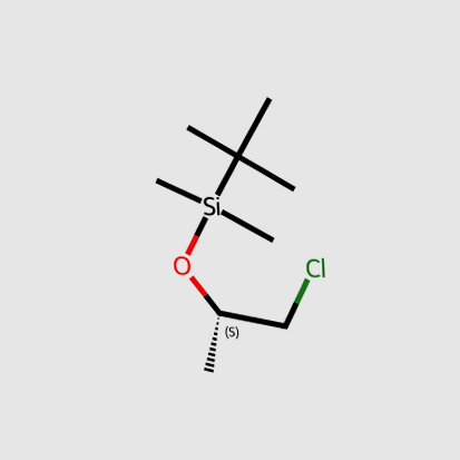 C[C@@H](CCl)O[Si](C)(C)C(C)(C)C